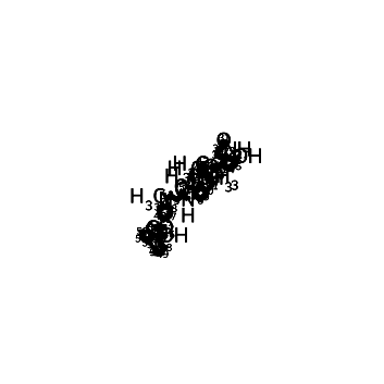 CN(CCC(=O)Nc1ccc(CNC[C@H](O[Si](C)(C)C(C)(C)C)c2ccc(O)c3[nH]c(=O)ccc23)cc1Cl)[C@H]1CC[C@H](OC(=O)C(O)(c2cccs2)c2cccs2)CC1